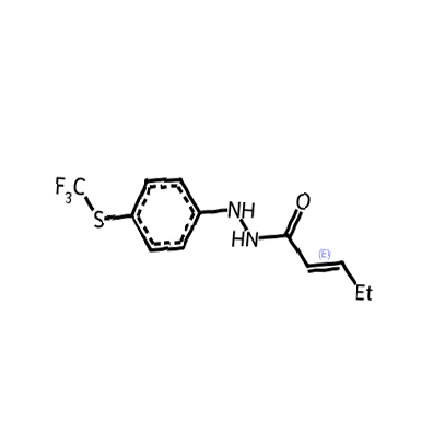 CC/C=C/C(=O)NNc1ccc(SC(F)(F)F)cc1